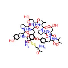 CC(=O)C(C)NC(=O)C(Cc1ccc(O)cc1)NC(=O)C(CC(=O)O)NC(=O)C1CCCN1C(=O)C(NC(=O)C(CC(=O)O)NC(=O)C(Cc1ccc(O)cc1)NC(=O)C1CCCN1C(=O)C(Cc1ccc(O)cc1)NC(=O)C(N)CSSC[C@H](N)C(C)=O)C(C)C